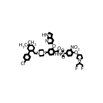 CC1(C)CCC(CN2CCN(c3ccc(C(=O)NS(=O)(=O)c4ccc(O[C@@H]5CCN(C(CF)CF)C5)c([N+](=O)[O-])c4)c(Oc4cnc5[nH]ccc5c4)c3)CC2)=C(c2ccc(Cl)cc2)C1